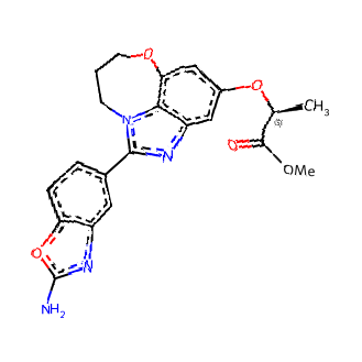 COC(=O)[C@H](C)Oc1cc2c3c(c1)nc(-c1ccc4oc(N)nc4c1)n3CCCO2